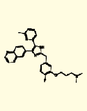 Cc1cccc(-c2[nH]c(Cc3ccc(F)c(OCCCN(C)C)c3)nc2-c2ccc3ncccc3c2)n1